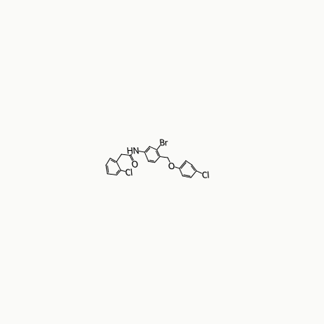 O=C(Cc1ccccc1Cl)Nc1ccc(COc2ccc(Cl)cc2)c(Br)c1